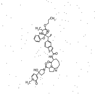 CCCOC(=O)[C@H](C)NP(=O)(Oc1ccccc1)C(F)c1ccc2sc(C(=O)N[C@H]3CCCC[C@H]4CC[C@@H](C(=O)N5CCC(O)(c6ccn(C)c(=O)c6)C5)N4C3=O)cc2c1